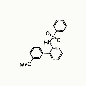 COc1cccc(-c2ccccc2NS(=O)(=O)c2ccccc2)c1